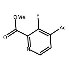 [CH2]C(=O)c1ccnc(C(=O)OC)c1F